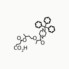 CC(CCOC(C)C(=O)N1CCN(C(c2ccccc2)(c2ccccc2)c2ccccc2)CC1)OC(=O)CCC(=O)O